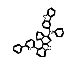 c1ccc(-c2cccc(-c3cccc4oc5cc(N(c6ccccc6)c6ccc7sc8ccccc8c7c6)c6ccccc6c5c34)n2)cc1